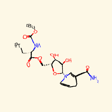 CC(C)C[C@H](NC(=O)OC(C)(C)C)C(=O)OC[C@H]1O[C@@H](N2C=CCC(C(N)=O)=C2)[C@H](O)[C@@H]1O